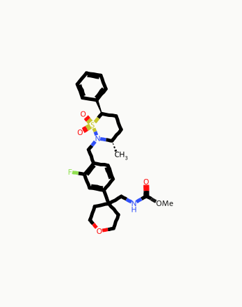 COC(=O)NCC1(c2ccc(CN3[C@@H](C)CC[C@H](c4ccccc4)S3(=O)=O)c(F)c2)CCOCC1